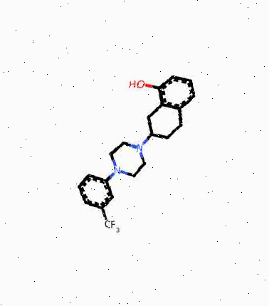 Oc1cccc2c1CC(N1CCN(c3cccc(C(F)(F)F)c3)CC1)CC2